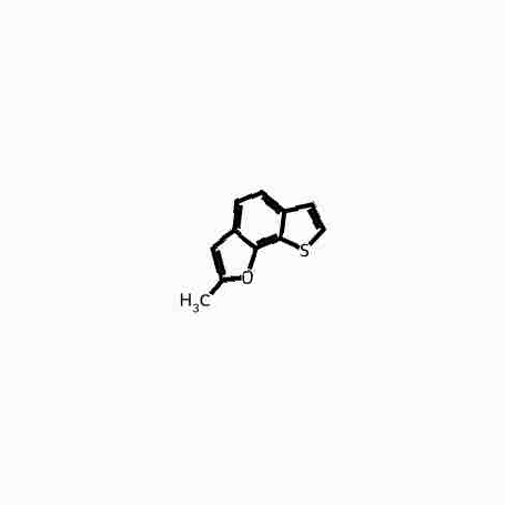 Cc1cc2ccc3ccsc3c2o1